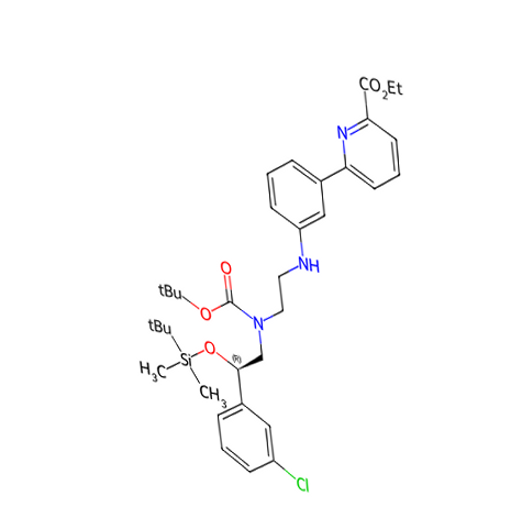 CCOC(=O)c1cccc(-c2cccc(NCCN(C[C@H](O[Si](C)(C)C(C)(C)C)c3cccc(Cl)c3)C(=O)OC(C)(C)C)c2)n1